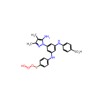 Cc1nn(-c2cc(Nc3ccc(SOOO)cc3)cc(Nc3ccc(S(=O)(=O)O)cc3)c2)c(N)c1C